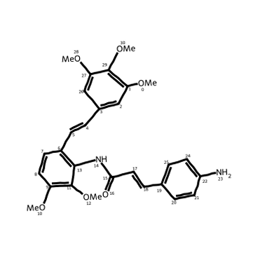 COc1cc(C=Cc2ccc(OC)c(OC)c2NC(=O)C=Cc2ccc(N)cc2)cc(OC)c1OC